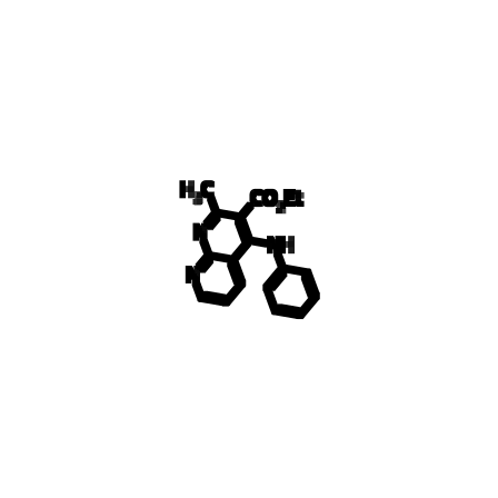 CCOC(=O)c1c(C)nc2ncccc2c1Nc1ccccc1